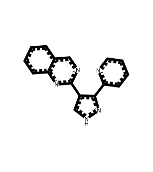 c1ccc(-c2n[nH]cc2-c2ncc3ccccc3n2)nc1